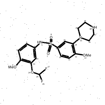 COc1ccc(NS(=O)(=O)c2ccc(OC)c(N3CCNCC3)c2)cc1OC(F)F